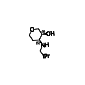 CC(C)CN[C@H]1CCOC[C@H]1O